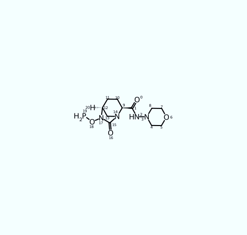 O=C(NN1CCOCC1)[C@@H]1CC[C@H]2CN1C(=O)N2OP